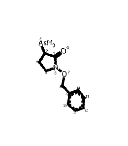 O=C1C([AsH2])CCN1OCc1ccccc1